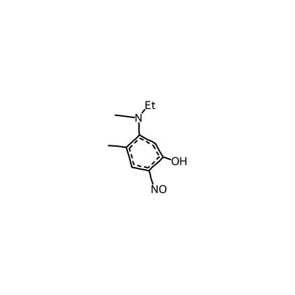 CCN(C)c1cc(O)c(N=O)cc1C